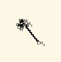 CCCCCCCCCCCCCCCC(=O)NC(C)CC1N[C@@]1(Cc1c[nH]cn1)C(=O)O